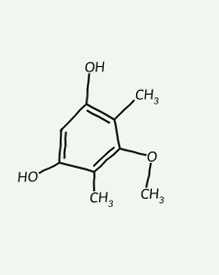 COc1c(C)c(O)cc(O)c1C